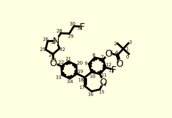 CC(C)(C)C(=O)Oc1ccc2c(c1F)OCCC=C2c1ccc(OC2CCN(CCCF)C2)cc1